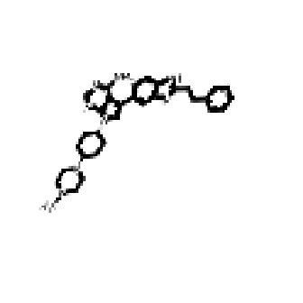 CN1CCN([C@H]2CC[C@@H](n3cc(-c4ccc5[nH]c(CCc6ccccc6)nc5c4)c4c(N)ncnc43)CC2)CC1